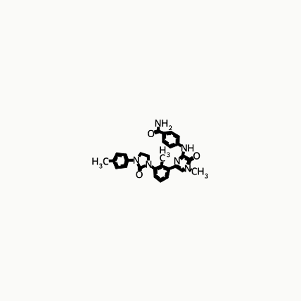 Cc1ccc(N2CCN(c3cccc(-c4cn(C)c(=O)c(Nc5ccc(C(N)=O)cc5)n4)c3C)C2=O)cc1